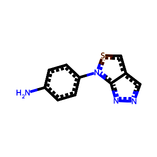 Nc1ccc(-n2scc3cnnc2-3)cc1